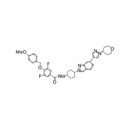 COc1ccc(COc2c(F)cc(C(=O)NCC3CCC(n4cc5ccc(-c6cnn(C7CCOCC7)c6)cc5n4)CC3)cc2F)cc1